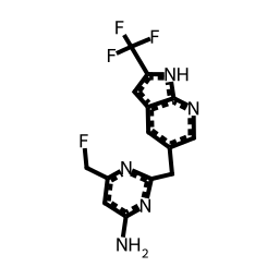 Nc1cc(CF)nc(Cc2cnc3[nH]c(C(F)(F)F)cc3c2)n1